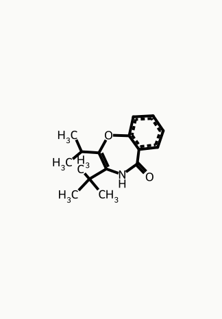 CC(C)C1=C(C(C)(C)C)NC(=O)c2ccccc2O1